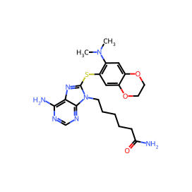 CN(C)c1cc2c(cc1Sc1nc3c(N)ncnc3n1CCCCCC(N)=O)OCCO2